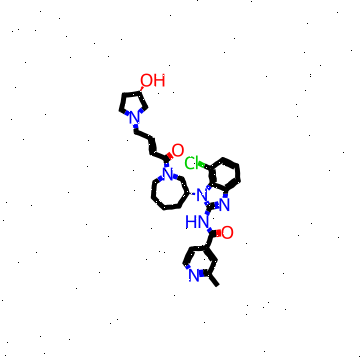 Cc1cc(C(=O)Nc2nc3cccc(Cl)c3n2[C@@H]2CCCCN(C(=O)/C=C/CN3CC[C@H](O)C3)C2)ccn1